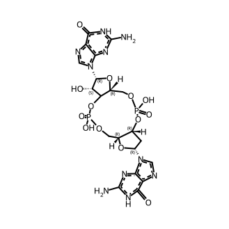 Nc1nc2c(ncn2[C@@H]2O[C@@H]3COP(=O)(O)O[C@@H]4C[C@H](n5cnc6c(=O)[nH]c(N)nc65)O[C@@H]4COP(=O)(O)OC3[C@@H]2O)c(=O)[nH]1